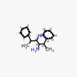 CC(c1ccccc1)C(N)C(N)C(C)c1ccccc1